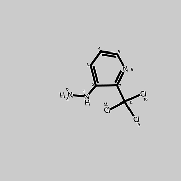 NNc1cccnc1C(Cl)(Cl)Cl